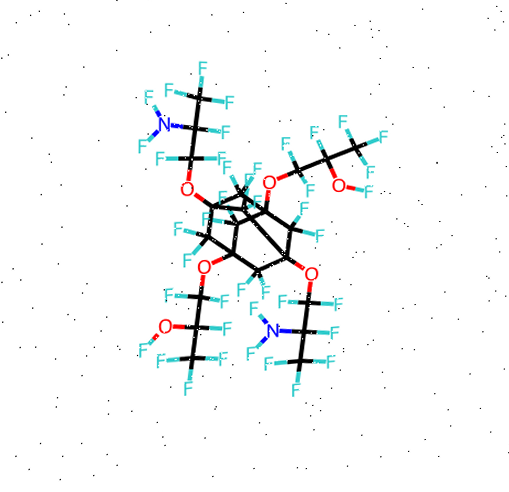 FOC(F)(C(F)(F)F)C(F)(F)OC12C(F)(F)C3(OC(F)(F)C(F)(OF)C(F)(F)F)C(F)(F)C(OC(F)(F)C(F)(N(F)F)C(F)(F)F)(C1(F)F)C(F)(F)C(OC(F)(F)C(F)(N(F)F)C(F)(F)F)(C2(F)F)C3(F)F